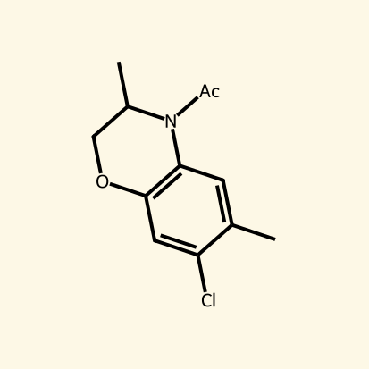 CC(=O)N1c2cc(C)c(Cl)cc2OCC1C